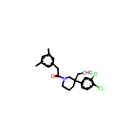 Cc1cc(C)cc(CC(=O)N2CCCC(CC=O)(c3ccc(Cl)c(Cl)c3)C2)c1